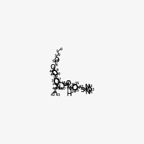 CCCCOCCOc1ccc(-c2ccc3c(c2)C=C(C(=O)Nc2ccc(CSc4ncccn4)cc2)CCN3CC(C)C)cc1